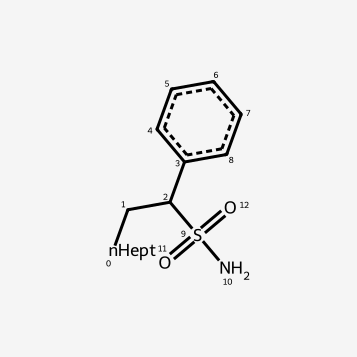 CCCCCCCCC(c1ccccc1)S(N)(=O)=O